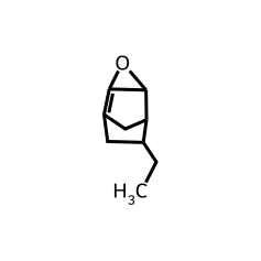 CCC1CC2=C3OC3C1C2